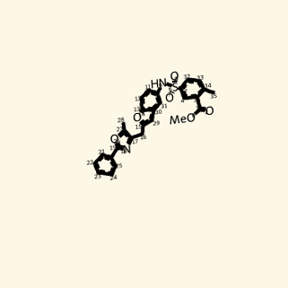 COC(=O)c1cc(S(=O)(=O)Nc2ccc3oc(Cc4nc(-c5ccccc5)oc4C)cc3c2)ccc1C